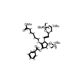 CCCC[C@@H](C)C[C@@H](/C=C/[C@@H]1C(SCCCCCC(=O)OC)=C(OC(=O)c2ccccc2)C[C@H]1O[Si](C)(C)C(C)(C)C)O[Si](C)(C)C(C)(C)C